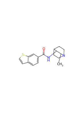 CC1C(NC(=O)c2ccc3ccsc3c2)C2CCN1CC2